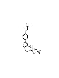 CCC(C)(N)CCc1ccc(-c2cc3c(cn2)CCc2c-3nn3c2C(=O)NC2(CC2)C3)cc1